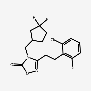 O=c1onc(CCc2c(F)cccc2Cl)n1CC1CCC(F)(F)C1